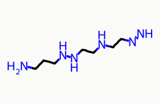 N=NCCNCCNNCCCN